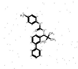 CC(C)(C)[C@@H](OC(=O)Oc1ccc(N)cc1)c1cccc(-c2ccccc2)c1